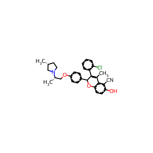 CC1=C(c2ccccc2Cl)C(c2ccc(OC[C@H](C)N3CC[C@@H](C)C3)cc2)Oc2ccc(O)c(C#N)c21